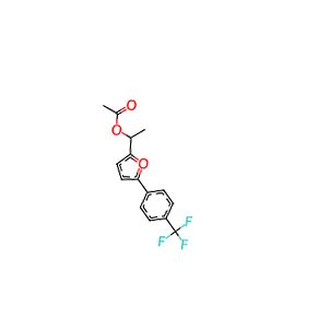 CC(=O)OC(C)c1ccc(-c2ccc(C(F)(F)F)cc2)o1